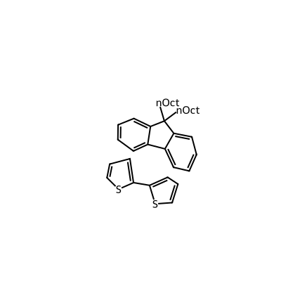 CCCCCCCCC1(CCCCCCCC)c2ccccc2-c2ccccc21.c1csc(-c2cccs2)c1